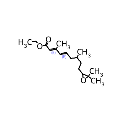 CCOC(=O)/C=C(C)/C=C/CC(C)CCC1OC1(C)C